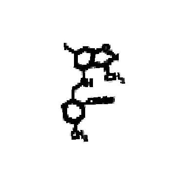 COc1cc(C)ccc1CNc1cc(I)cc2onc(C)c12